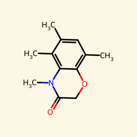 Cc1cc(C)c2c(c1C)N(C)C(=O)CO2